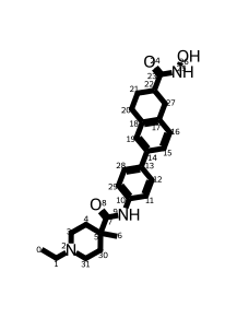 CCN1CCC(C)(C(=O)Nc2ccc(-c3ccc4c(c3)CCC(C(=O)NO)C4)cc2)CC1